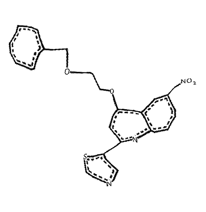 O=[N+]([O-])c1ccc2nc(-c3cncs3)cc(OCCOCc3ccccc3)c2c1